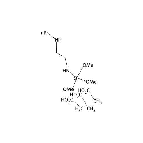 CC(=O)O.CC(=O)O.CC(=O)O.CCCNCCN[Si](OC)(OC)OC